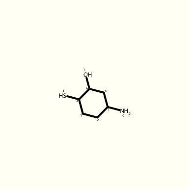 NC1CCC(S)C(O)C1